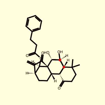 C=C1C(=O)[C@]23[C@H](OC(=O)CCc4ccccc4)[C@H]1CC[C@H]2[C@@]12CO[C@@]3(O)[C@@H](O)[C@@H]1C(C)(C)CCC2=O